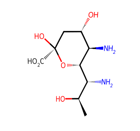 C[C@@H](O)[C@@H](N)[C@@H]1O[C@](O)(C(=O)O)C[C@H](O)[C@H]1N